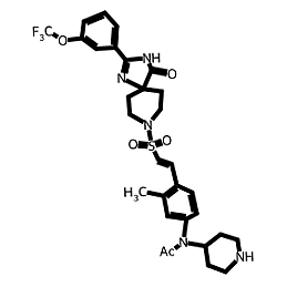 CC(=O)N(c1ccc(/C=C/S(=O)(=O)N2CCC3(CC2)N=C(c2cccc(OC(F)(F)F)c2)NC3=O)c(C)c1)C1CCNCC1